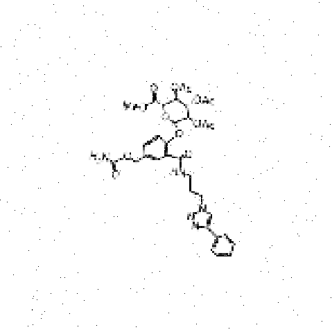 COC(=O)[C@H]1O[C@@H](Oc2ccc(COC(N)=O)cc2C(=O)NCCCn2cc(-c3ccccc3)nn2)[C@H](OC(C)=O)[C@@H](OC(C)=O)[C@@H]1OC(C)=O